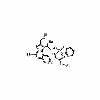 CCCC[C@@H](COP(=O)(N[C@@H](C)C(=O)OC(C)C)Oc1ccccn1)n1c(COCC)nc2c(N)nc3ccccc3c21